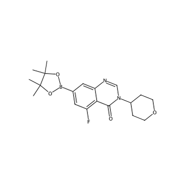 CC1(C)OB(c2cc(F)c3c(=O)n(C4CCOCC4)cnc3c2)OC1(C)C